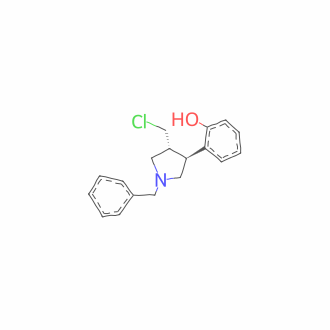 Oc1ccccc1[C@H]1CN(Cc2ccccc2)C[C@@H]1CCl